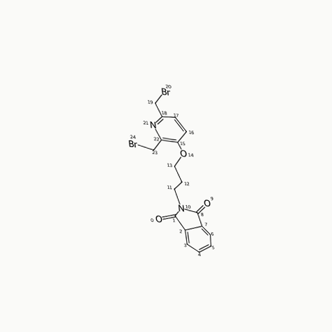 O=C1c2ccccc2C(=O)N1CCCOc1ccc(CBr)nc1CBr